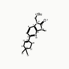 Cn1c(=O)n(CC(C)(C)C)c2ccc(C3=CCC(C)(C)[CH]C3)nc21